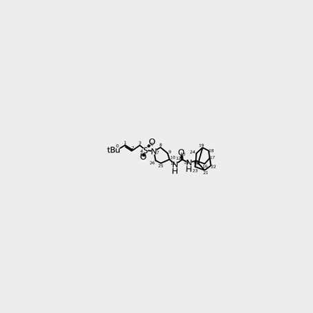 CC(C)(C)C=CCS(=O)(=O)N1CCC(NC(=O)NC23CC4CC(CC(C4)C2)C3)CC1